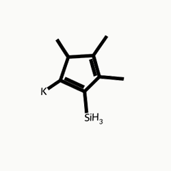 CC1=C(C)C(C)[C]([K])=C1[SiH3]